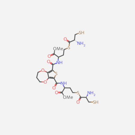 COC(=O)C(CCSC(=O)[C@@H](N)CS)NC(=O)c1sc(C(=O)NC(CCSC(=O)[C@@H](N)CS)C(=O)OC)c2c1OCCCO2